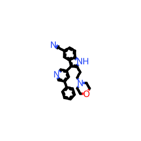 N#Cc1ccc2[nH]c(CCN3CCOCC3)c(-c3cncc(-c4ccccc4)c3)c2c1